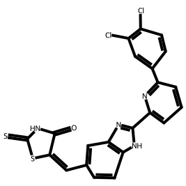 O=C1NC(=S)SC1=Cc1ccc2[nH]c(-c3cccc(-c4ccc(Cl)c(Cl)c4)n3)nc2c1